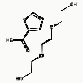 O=C(O)c1cccs1.OCCOCCOCCO